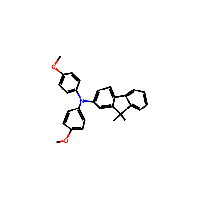 COc1ccc(N(c2ccc(OC)cc2)c2ccc3c(c2)C(C)(C)c2ccccc2-3)cc1